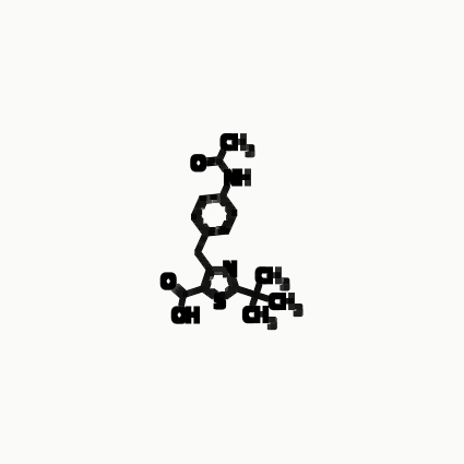 CC(=O)Nc1ccc(Cc2nc(C(C)(C)C)sc2C(=O)O)cc1